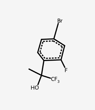 CC(O)(c1ccc(Br)cc1F)C(F)(F)F